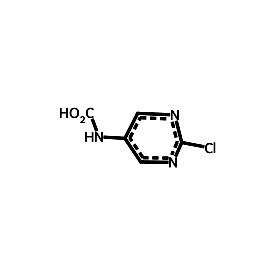 O=C(O)Nc1cnc(Cl)nc1